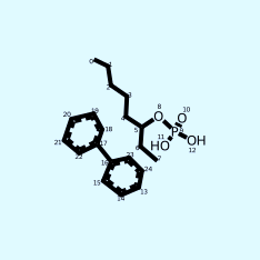 CCCCCC(CC)OP(=O)(O)O.c1ccc(-c2ccccc2)cc1